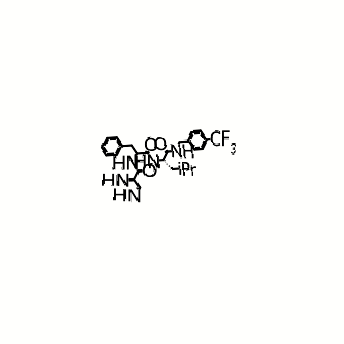 CC(C)C[C@H](NC(=O)C(Cc1ccccc1)NC(=O)C(=N)C=N)C(=O)NCc1ccc(C(F)(F)F)cc1